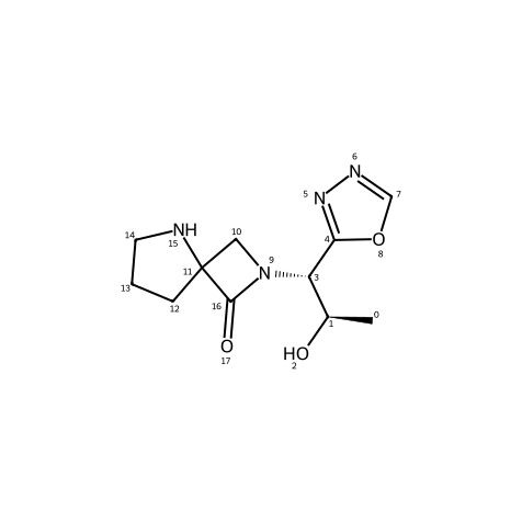 C[C@@H](O)[C@@H](c1nnco1)N1CC2(CCCN2)C1=O